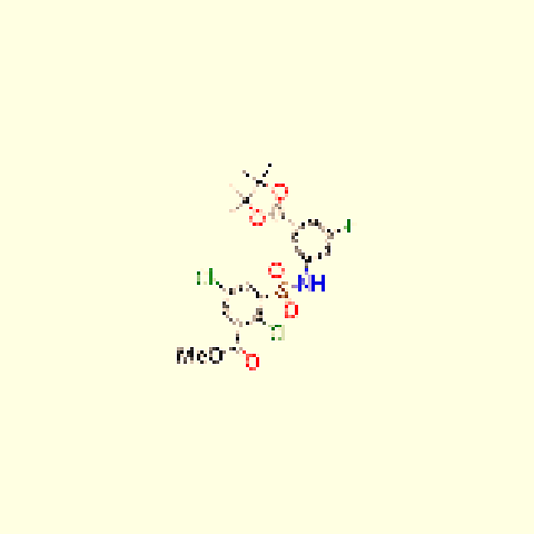 COC(=O)c1cc(Cl)cc(S(=O)(=O)Nc2cc(F)cc(B3OC(C)(C)C(C)(C)O3)c2)c1Cl